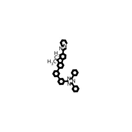 CC1(C)c2cc(-c3cccc(-c4cccc(-c5nc(-c6ccccc6)nc(-c6ccccc6)n5)c4)c3)ccc2-c2ccc(-c3cn4ccccc4n3)cc21